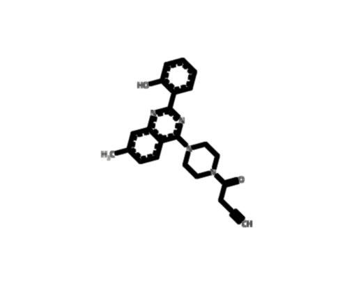 C#CCC(=O)N1CCN(c2nc(-c3ccccc3O)nc3cc(C)ccc23)CC1